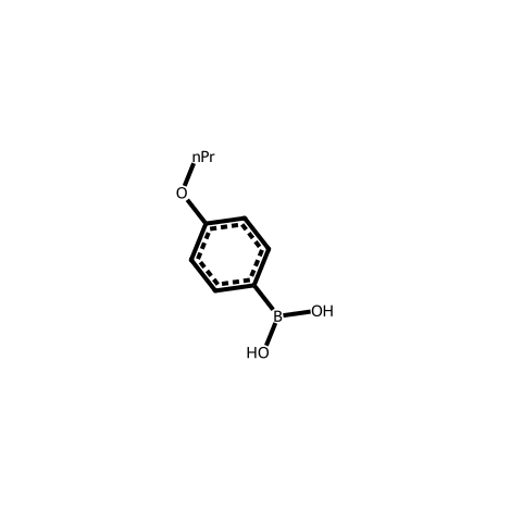 CCCOc1ccc(B(O)O)cc1